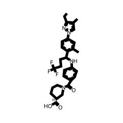 CCc1nn(-c2ccc(C(CCC(F)(F)F)Nc3ccc(C(=O)N4CCC[C@@H](C(=O)O)C4)cc3)c(C)c2)cc1C